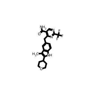 Cc1c(C2CCOCC2)[nH]c2ccc(Cc3nc(C(F)(F)F)ncc3C(N)=O)cc12